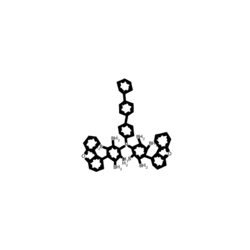 Bc1c(B)c(N(c2ccc(-c3ccc(-c4ccccc4)cc3)cc2)c2c(B)c(B)c(-c3cccc4oc5ccccc5c34)c(B)c2B)c(B)c(B)c1-c1cccc2oc3ccccc3c12